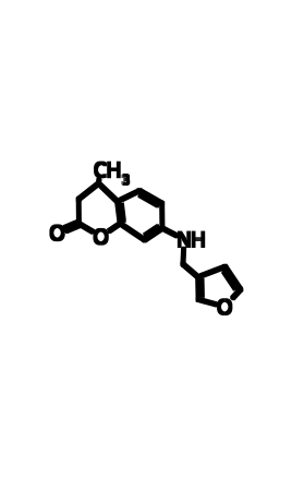 CC1CC(=O)Oc2cc(NCc3ccoc3)ccc21